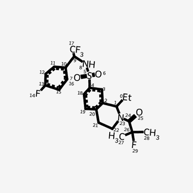 CCC1c2cc(S(=O)(=O)NC(c3ccc(F)cc3)C(F)(F)F)ccc2CCN1C(=O)C(C)(C)F